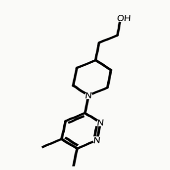 Cc1cc(N2CCC(CCO)CC2)nnc1C